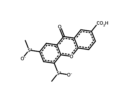 C[S+]([O-])c1cc([S+](C)[O-])c2oc3ccc(C(=O)O)cc3c(=O)c2c1